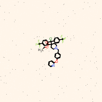 CCOC(=O)C1(C(Cl)(c2ccc(C(F)(F)F)cc2)c2ccc(C(F)(F)F)cc2)CCN(Cc2ccc(Oc3ccccn3)cc2)CC1